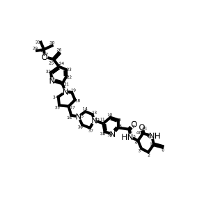 C=C1CCC(NC(=O)c2ccc(N3CCN(CC4CCN(c5ccc(C(=C)OC(C)(C)C)cn5)CC4)CC3)cn2)C(=O)N1